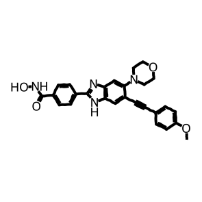 COc1ccc(C#Cc2cc3[nH]c(-c4ccc(C(=O)NO)cc4)nc3cc2N2CCOCC2)cc1